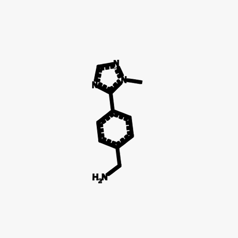 Cn1ncnc1-c1ccc(CN)cc1